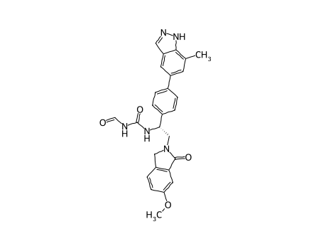 COc1ccc2c(c1)C(=O)N(C[C@H](NC(=O)NC=O)c1ccc(-c3cc(C)c4[nH]ncc4c3)cc1)C2